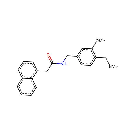 CNCc1ccc(CNC(=O)Cc2cccc3ccccc23)cc1OC